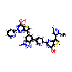 CC(C)c1nn(C)cc1-c1csc2c(O)nc(-c3ccc(-c4cc(-c5csc6c(O)nc(-c7ccccn7)nc56)cc5c4nnn5C)cn3)nc12